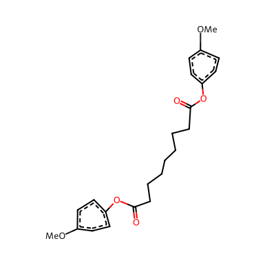 COc1ccc(OC(=O)CCCCCCCC(=O)Oc2ccc(OC)cc2)cc1